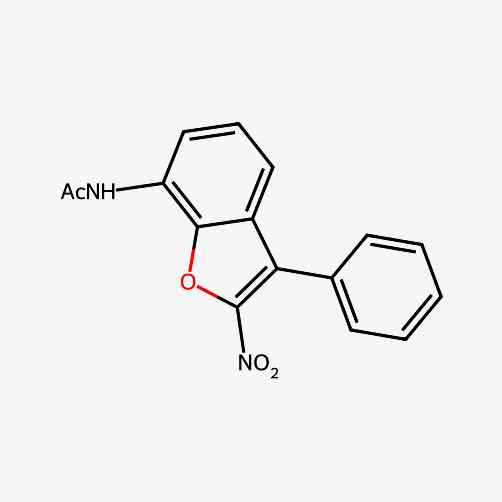 CC(=O)Nc1cccc2c(-c3ccccc3)c([N+](=O)[O-])oc12